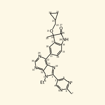 CCn1c(-c2cnc(C)nc2)nc2c(-c3ccc4c(c3)C(C)(OCC3CC3)C(=O)N4)ncnc21